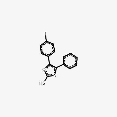 Sc1nc(-c2ccccc2)c(-c2ccc(I)cc2)o1